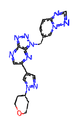 c1nc2ccc(Cn3nnc4ncc(-c5cnn(C6CCOCC6)c5)nc43)cn2n1